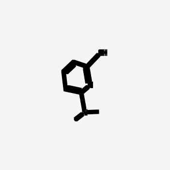 CN(C)c1cccc(S)n1